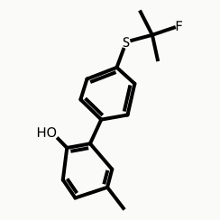 Cc1ccc(O)c(-c2ccc(SC(C)(C)F)cc2)c1